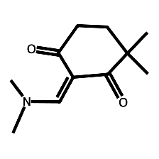 CN(C)/C=C1\C(=O)CCC(C)(C)C1=O